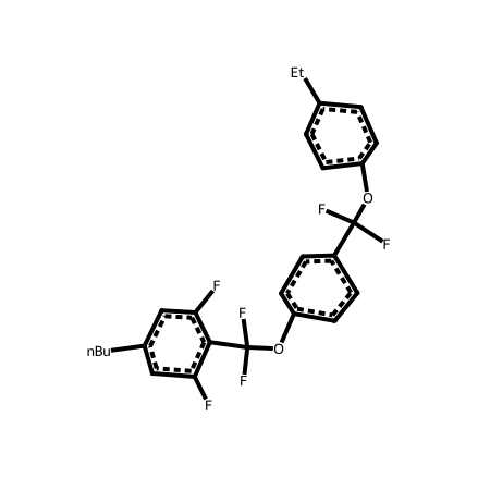 CCCCc1cc(F)c(C(F)(F)Oc2ccc(C(F)(F)Oc3ccc(CC)cc3)cc2)c(F)c1